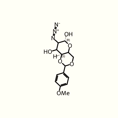 COc1ccc(C2OCC3O[C@@H](O)C(N=[N+]=[N-])C(O)[C@@H]3O2)cc1